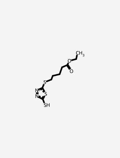 CCOC(=O)CCCCSc1nnc(S)s1